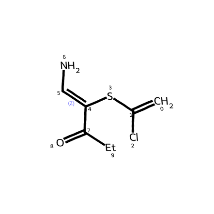 C=C(Cl)S/C(=C\N)C(=O)CC